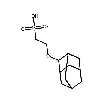 O=S(=O)(O)CCOC1C2CC3CC(C2)CC1C3